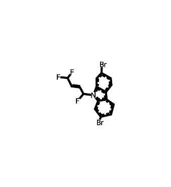 FC(F)C=CC(F)n1c2cc(Br)ccc2c2ccc(Br)cc21